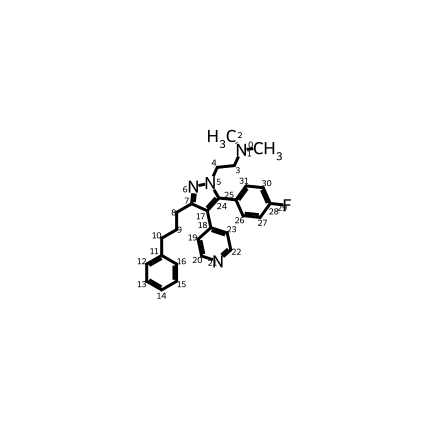 CN(C)CCn1nc(CCCc2ccccc2)c(-c2ccncc2)c1-c1ccc(F)cc1